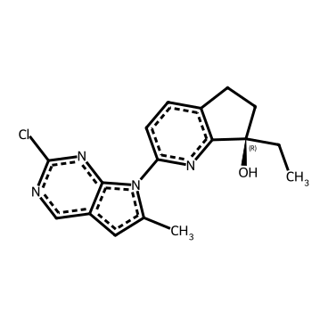 CC[C@@]1(O)CCc2ccc(-n3c(C)cc4cnc(Cl)nc43)nc21